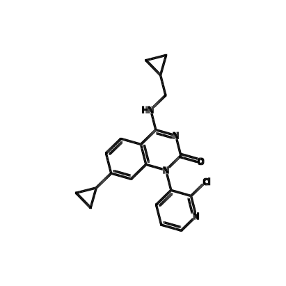 O=c1nc(NCC2CC2)c2ccc(C3CC3)cc2n1-c1cccnc1Cl